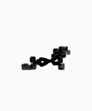 CC(C)(C)OC(=O)N1CC2C(C1)C2c1cc(Cl)nc(S(C)(=O)=O)n1